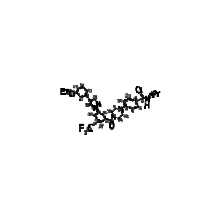 CCCNC(=O)c1ccc(N2CCN(C(=O)c3cc(-n4cc(-c5cccc(OCC)c5)cn4)cc(C(F)(F)F)c3)CC2)cc1